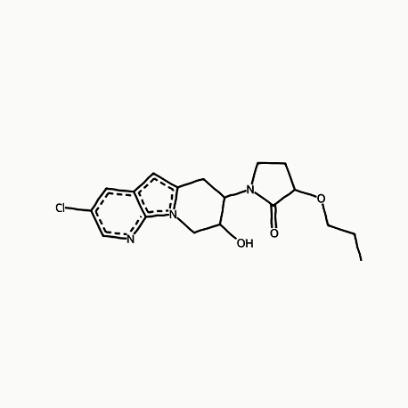 CCCOC1CCN(C2Cc3cc4cc(Cl)cnc4n3CC2O)C1=O